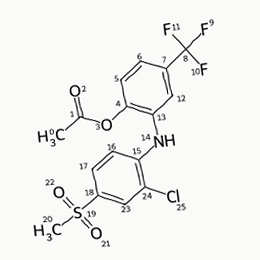 CC(=O)Oc1ccc(C(F)(F)F)cc1Nc1ccc(S(C)(=O)=O)cc1Cl